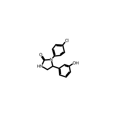 O=C1NCC(c2cccc(O)c2)N1c1ccc(Cl)cc1